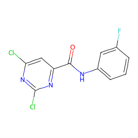 O=C(Nc1cccc(F)c1)c1cc(Cl)nc(Cl)n1